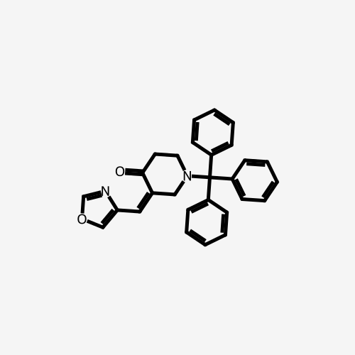 O=C1CCN(C(c2ccccc2)(c2ccccc2)c2ccccc2)C/C1=C/c1cocn1